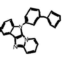 c1ccc(-c2cccc(-n3c4ccccc4c4nc5ccccn5c43)c2)cc1